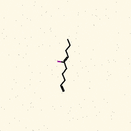 C=CCCCC(I)=CCCC